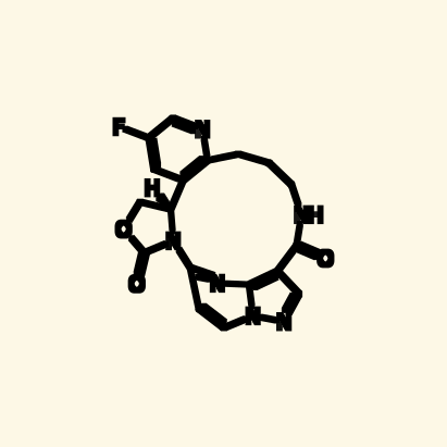 O=C1NCCCc2ncc(F)cc2[C@H]2COC(=O)N2c2ccn3ncc1c3n2